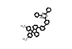 Cc1ccc(C2(c3ccc(C)cc3)c3ccccc3-c3c(-c4cccc(-c5cccc(C6=NC(C7=CCCC=C7)=NC(c7ccccc7)N6)c5)c4)cccc32)cc1